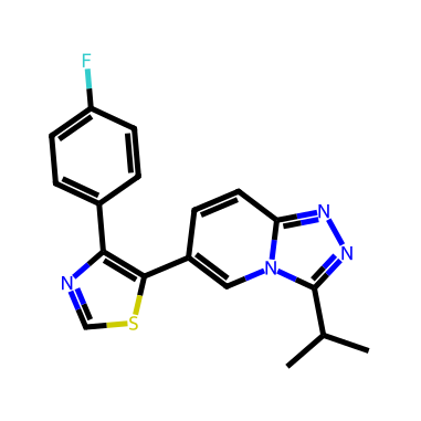 CC(C)c1nnc2ccc(-c3scnc3-c3ccc(F)cc3)cn12